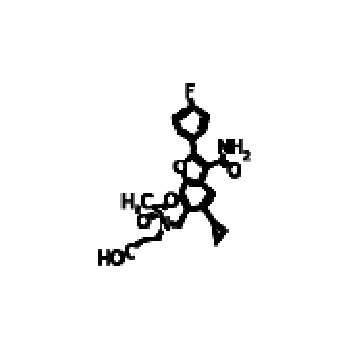 CS(=O)(=O)N(CCCO)Cc1cc2oc(-c3ccc(F)cc3)c(C(N)=O)c2cc1C1CC1